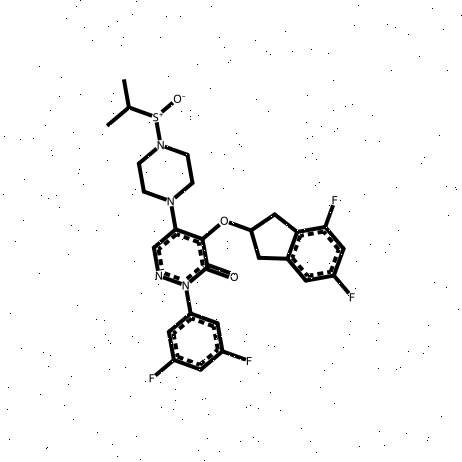 CC(C)[S+]([O-])N1CCN(c2cnn(-c3cc(F)cc(F)c3)c(=O)c2OC2Cc3cc(F)cc(F)c3C2)CC1